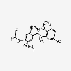 COc1ccc(Br)cc1Nc1ncnc2cc(OC(F)F)c(N)cc12